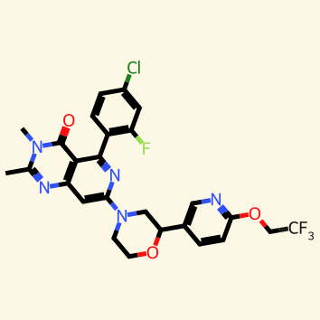 Cc1nc2cc(N3CCOC(c4ccc(OCC(F)(F)F)nc4)C3)nc(-c3ccc(Cl)cc3F)c2c(=O)n1C